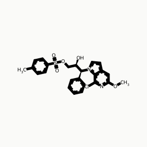 COc1cc2ccn([C@@H](c3ccccc3)[C@H](O)COS(=O)(=O)c3ccc(C)cc3)c2c(Cl)n1